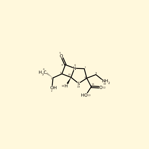 C[C@@H](O)C1C(=O)N2CC(CN)(C(=O)O)S[C@H]12